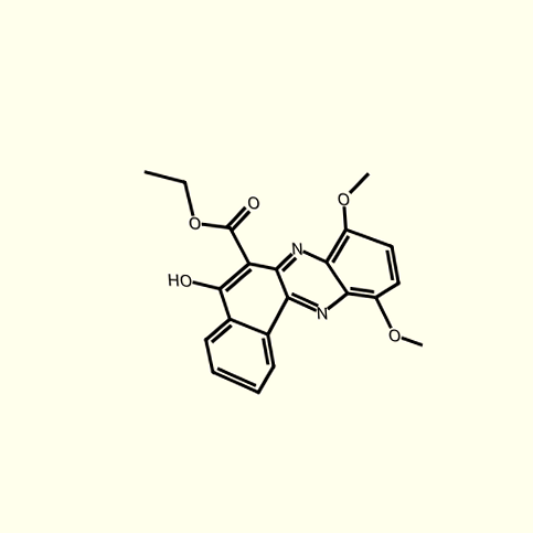 CCOC(=O)c1c(O)c2ccccc2c2nc3c(OC)ccc(OC)c3nc12